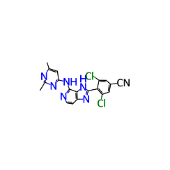 Cc1cc(Nc2nccc3nc(-c4c(Cl)cc(C#N)cc4Cl)[nH]c23)nc(C)n1